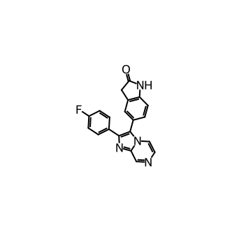 O=C1Cc2cc(-c3c(-c4ccc(F)cc4)nc4cnccn34)ccc2N1